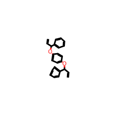 C=CC(Oc1ccc(OC(C=C)c2ccccc2)cc1)c1ccccc1